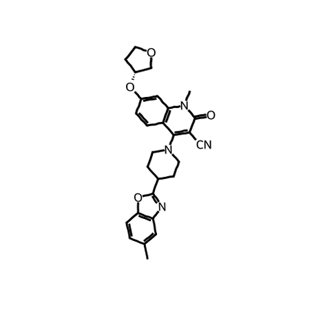 Cc1ccc2oc(C3CCN(c4c(C#N)c(=O)n(C)c5cc(O[C@@H]6CCOC6)ccc45)CC3)nc2c1